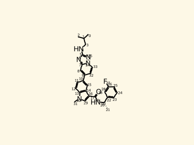 CC(C)CNc1nc2cc(-c3ccc4c(c3)c(C(=O)N[C@@H](C)c3cccc(F)c3)cn4C)ccn2n1